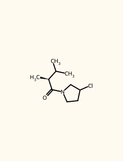 CC(C)[C@H](C)C(=O)N1CCC(Cl)C1